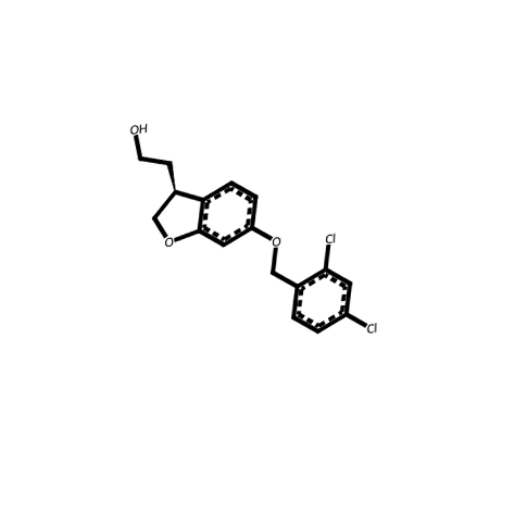 OCC[C@@H]1COc2cc(OCc3ccc(Cl)cc3Cl)ccc21